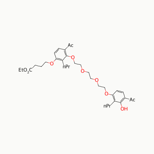 CCCc1c(OCCOCCOCCOc2c(C(C)=O)ccc(OCCCC(=O)OCC)c2CCC)ccc(C(C)=O)c1O